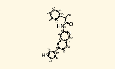 CC(C(=O)Nc1cc2cc(-c3cc[nH]c3)ccc2cn1)c1ccccc1